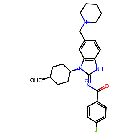 O=C[C@H]1CC[C@@H](n2/c(=N/C(=O)c3ccc(F)cc3)[nH]c3ccc(CN4CCCCC4)cc32)CC1